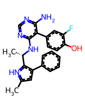 Cc1cc(-c2ccccc2)c([C@H](C)Nc2ncnc(N)c2-c2ccc(O)c(F)c2)[nH]1